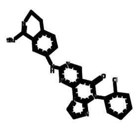 CC(C)(C)C1=NCCc2ccc(Nc3ncc4c(=O)n(-c5ccccc5Cl)c5nccn5c4n3)cc21